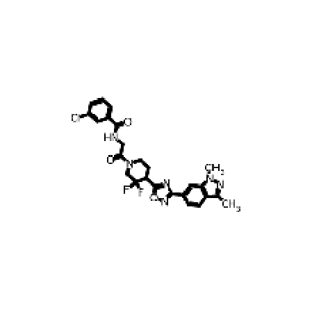 Cc1nn(C)c2cc(-c3noc(C4CCN(C(=O)CNC(=O)c5cccc(Cl)c5)CC4(F)F)n3)ccc12